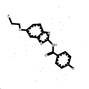 O=C(Nc1nc2ccc(OCCF)cc2s1)c1ccc(F)cc1